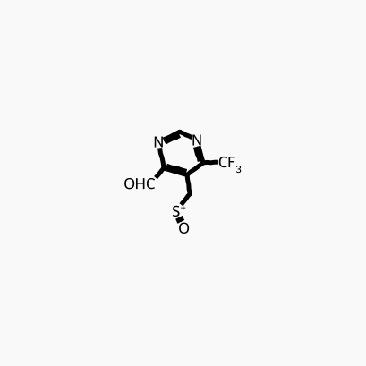 O=Cc1ncnc(C(F)(F)F)c1C[S+]=O